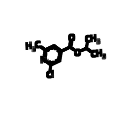 Cc1cc(C(=O)OC(C)C)cc(Cl)n1